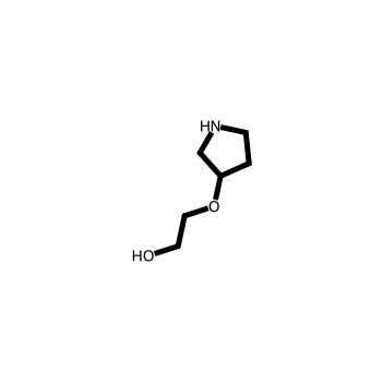 OCCOC1CCNC1